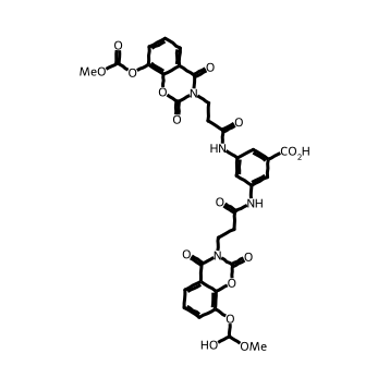 COC(=O)Oc1cccc2c(=O)n(CCC(=O)Nc3cc(NC(=O)CCn4c(=O)oc5c(OC(O)OC)cccc5c4=O)cc(C(=O)O)c3)c(=O)oc12